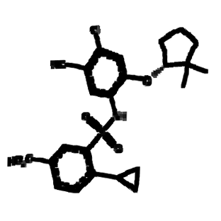 CC1(C)CCC[C@H]1Oc1cc(Cl)c(C#N)cc1NS(=O)(=O)c1cc(C(=O)O)ccc1C1CC1